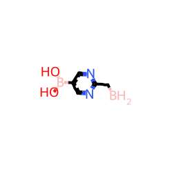 BCc1ncc(B(O)O)cn1